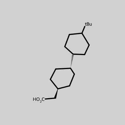 CC(C)(C)C1CCC([C@H]2CC[C@H](CC(=O)O)CC2)CC1